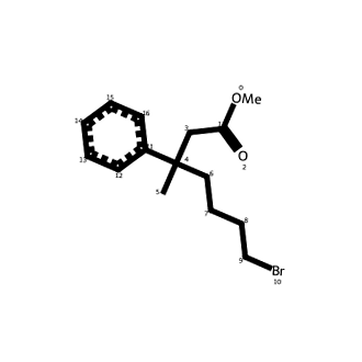 COC(=O)CC(C)(CCCCBr)c1ccccc1